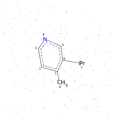 Cc1ccncc1C(C)C